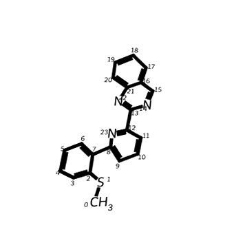 CSc1ccccc1-c1cccc(-c2ncc3ccccc3n2)n1